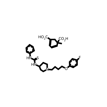 CC1(C(=O)O)C=CC=C(C(=O)O)C1.Fc1ccc(OCCCCN2CCC(NC(=S)Nc3ccccc3)CC2)cc1